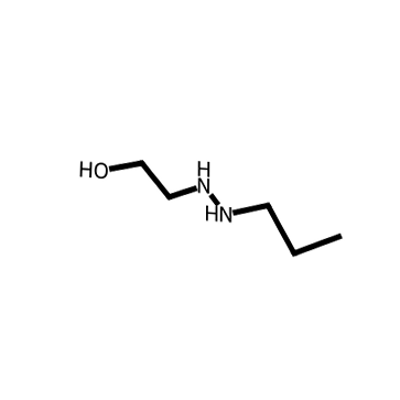 CCCNNCCO